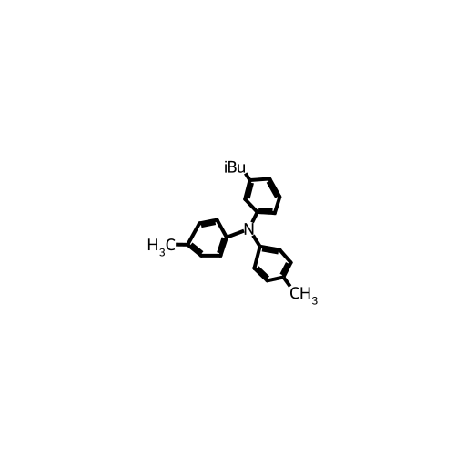 CCC(C)c1cccc(N(c2ccc(C)cc2)c2ccc(C)cc2)c1